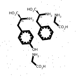 NCC(=O)O.NCC(=O)O.N[C@@H](Cc1ccc(O)cc1)C(=O)O.N[C@@H](Cc1ccccc1)C(=O)O